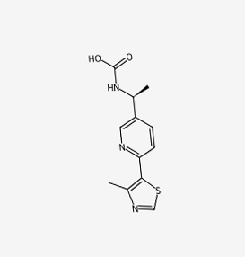 Cc1ncsc1-c1ccc([C@H](C)NC(=O)O)cn1